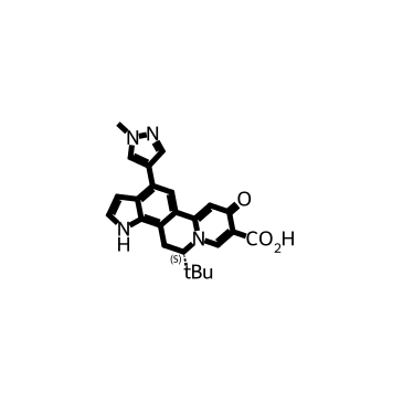 Cn1cc(-c2cc3c(c4[nH]ccc24)C[C@@H](C(C)(C)C)n2cc(C(=O)O)c(=O)cc2-3)cn1